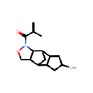 C=C(C)C(=O)N1OCC2C3CC(C4CC(OC(C)=O)CC34)C21